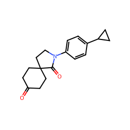 O=C1CCC2(CC1)CCN(c1ccc(C3CC3)cc1)C2=O